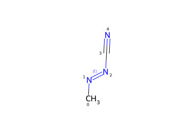 C/N=N/C#N